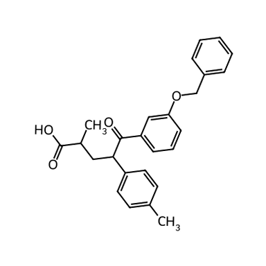 Cc1ccc(C(CC(C)C(=O)O)C(=O)c2cccc(OCc3ccccc3)c2)cc1